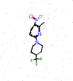 Cc1nc(N2CCC(C(F)(F)F)CC2)ccc1[N+](=O)[O-]